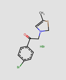 Br.CC1=CN(CC(=O)c2ccc(Br)cc2)CS1